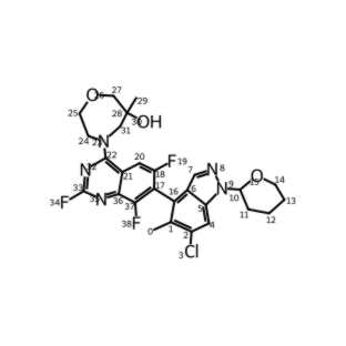 Cc1c(Cl)cc2c(cnn2C2CCCCO2)c1-c1c(F)cc2c(N3CCOCC(C)(O)C3)nc(F)nc2c1F